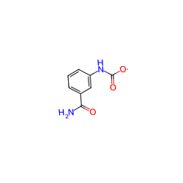 NC(=O)c1cccc(NC([O])=O)c1